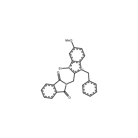 CCn1c(CN2C(=O)c3ccccc3C2=O)[n+](Cc2ccccc2)c2ccc(OC)cc21